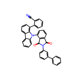 N#Cc1ccccc1-c1cccc2c3ccccc3n(-c3cccc4c3C(=O)N(c3cccc(-c5ccccc5)c3)C4=O)c12